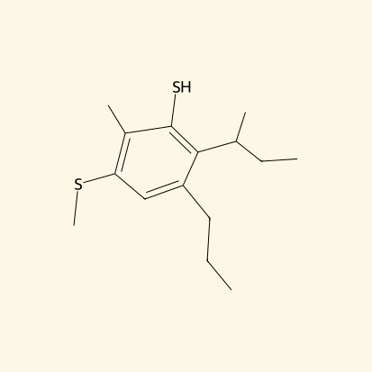 CCCc1cc(SC)c(C)c(S)c1C(C)CC